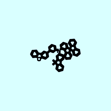 CC1(C)c2ccccc2-c2ccc(N(c3cccc(-c4ccc5oc6ccccc6c5c4)c3)c3cccc4c3-c3ccccc3C43c4ccccc4-c4ccccc43)cc21